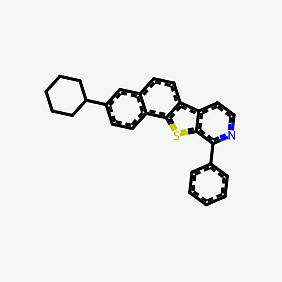 c1ccc(-c2nccc3c2sc2c4ccc(C5CCCCC5)cc4ccc32)cc1